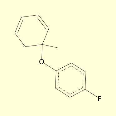 CC1(Oc2ccc(F)cc2)[CH]C=CC=C1